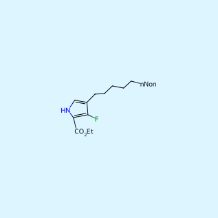 CCCCCCCCCCCCCCc1c[nH]c(C(=O)OCC)c1F